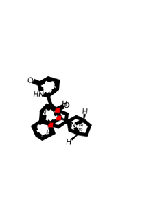 O=c1cccc(-c2nc3ccccc3n([C@@H]3C[C@H]4CC[C@@H](C3)N4C3C[C@H]4CCC[C@@H](C3)C4)c2=O)[nH]1